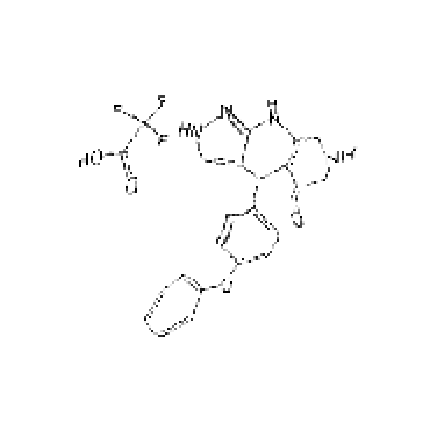 O=C(O)C(F)(F)F.O=C1CNCC2=C1C(c1ccc(Oc3ccccc3)cc1)c1c[nH]nc1N2